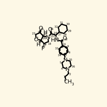 CCCN1CCN(c2ccc(C(=O)N[C@H](C(=O)N3C[C@H](F)[C@H]4OCC(=O)[C@H]43)C3CCCCC3)cc2)CC1